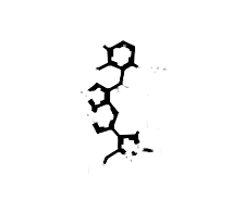 COc1ccc(F)c(Cl)c1[C@@H](C)c1c[nH]c2ncc(-c3c(CO)nn(C)c3C)cc12